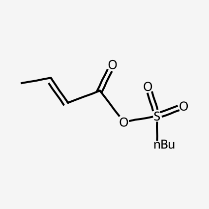 CC=CC(=O)OS(=O)(=O)CCCC